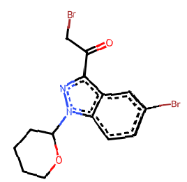 O=C(CBr)c1nn(C2CCCCO2)c2ccc(Br)cc12